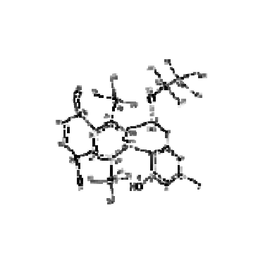 Cc1cc(O)c2c(c1)C[C@@H](O[Si](C)(C)C(C)(C)C)c1c-2c([Si](C)(C)C)c2c(c1[Si](C)(C)C)C(=O)C=CC2=O